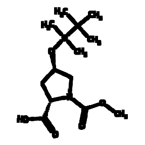 COC(=O)N1C[C@H](O[Si](C)(C)C(C)(C)C)C[C@H]1C(=O)O